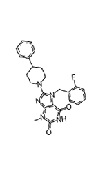 Cn1c(=O)[nH]c(=O)c2c1nc(N1CCC(c3ccccc3)CC1)n2Cc1ccccc1F